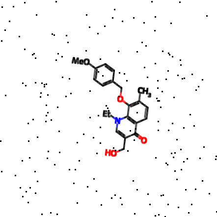 CCn1cc(CO)c(=O)c2ccc(C)c(OCc3ccc(OC)cc3)c21